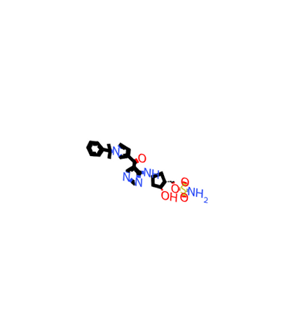 CC(C)(c1ccccc1)n1ccc(C(=O)c2cncnc2N[C@@H]2C[C@H](COS(N)(=O)=O)[C@@H](O)C2)c1